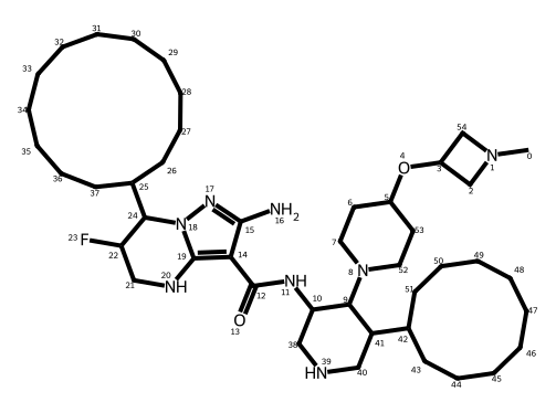 CN1CC(OC2CCN(C3C(NC(=O)c4c(N)nn5c4NCC(F)C5C4CCCCCCCCCCCC4)CNCC3C3CCCCCCCCC3)CC2)C1